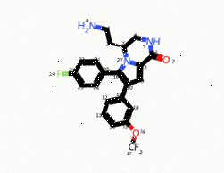 NCC[C@H]1CNC(=O)c2cc(-c3cccc(OC(F)(F)F)c3)c(-c3ccc(F)cc3)n21